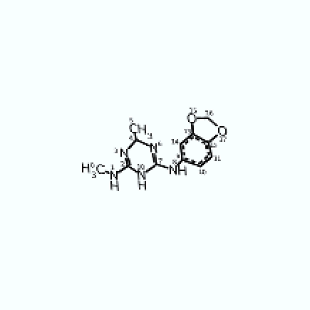 CNC1=NC(C)N=C(Nc2ccc3c(c2)OCO3)N1